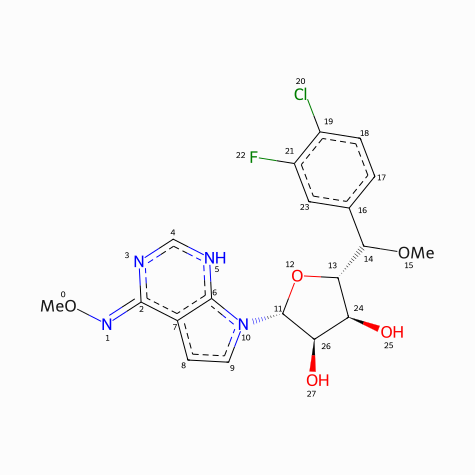 CON=c1nc[nH]c2c1ccn2[C@@H]1O[C@H](C(OC)c2ccc(Cl)c(F)c2)[C@@H](O)[C@H]1O